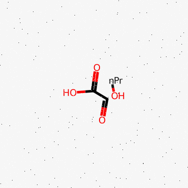 CCCO.O=CC(=O)O